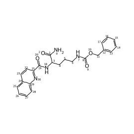 NC(=O)C(CCCNC(=O)OCc1ccccc1)NC(=O)c1ccc2ccccc2n1